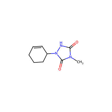 Cn1c(=O)[nH]n(C2C=CCCC2)c1=O